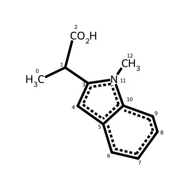 CC(C(=O)O)c1cc2ccccc2n1C